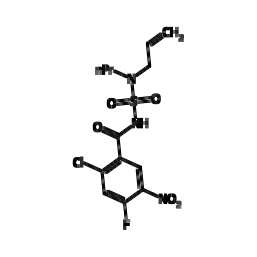 C=CCN(CCC)S(=O)(=O)NC(=O)c1cc([N+](=O)[O-])c(F)cc1Cl